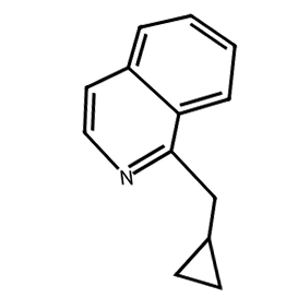 c1ccc2c(CC3CC3)nccc2c1